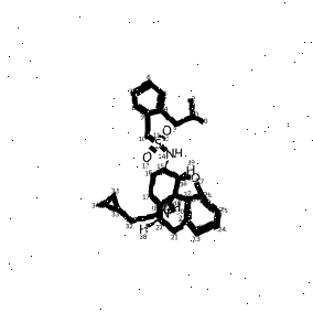 CC(C)Cc1ccccc1CS(=O)(=O)N[C@H]1CC[C@@]2(O)[C@H]3Cc4cccc5c4[C@@]2(CCN3CC2CC2)[C@H]1O5